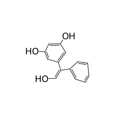 OC=C(c1ccccc1)c1cc(O)cc(O)c1